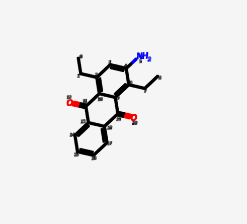 CCc1cc(N)c(CC)c2c1C(=O)c1ccccc1C2=O